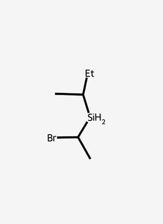 CCC(C)[SiH2]C(C)Br